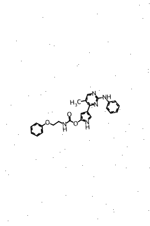 Cc1cnc(Nc2ccccc2)nc1-c1c[nH]c(OC(=O)NCCOc2ccccc2)c1